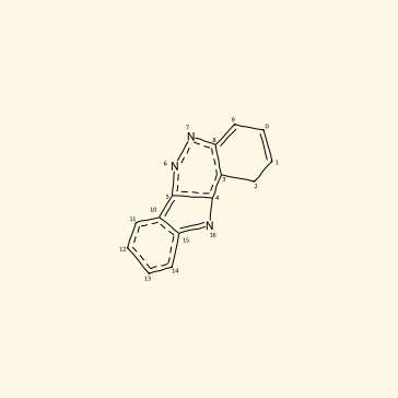 C1=CCc2c3c(nnc2=C1)=c1ccccc1=N3